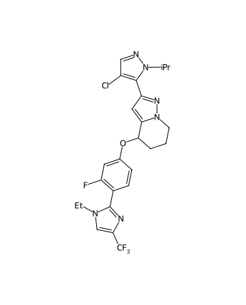 CCn1cc(C(F)(F)F)nc1-c1ccc(OC2CCCn3nc(-c4c(Cl)cnn4C(C)C)cc32)cc1F